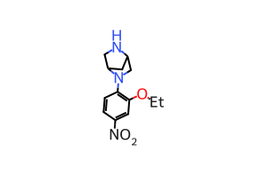 CCOc1cc([N+](=O)[O-])ccc1N1CC2CC1CN2